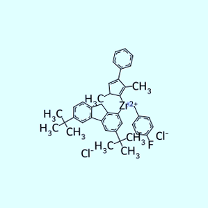 CC1=[C](/[Zr+2](=[CH]/c2ccc(F)cc2)[c]2cc(C(C)(C)C)cc3c2Cc2ccc(C(C)(C)C)cc2-3)C(C)C=C1c1ccccc1.[Cl-].[Cl-]